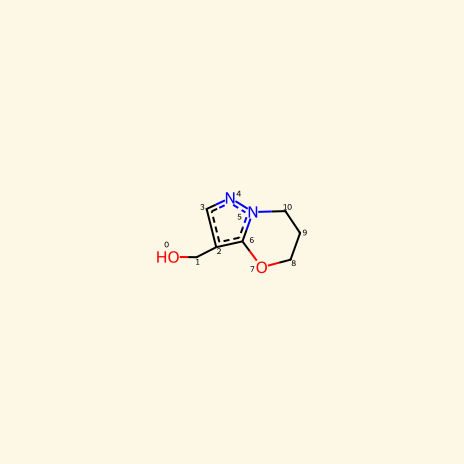 OCc1cnn2c1OCCC2